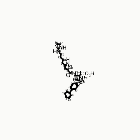 O=C(O)C(CNC(=O)C1CC(CCCCNc2ncc[nH]2)NO1)NS(=O)(=O)c1ccc(-c2ccccc2)cc1